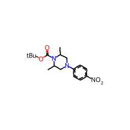 CC1CN(c2ccc([N+](=O)[O-])cc2)CC(C)N1C(=O)OC(C)(C)C